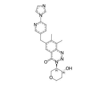 Cc1c(Cc2ccc(-n3ccnc3)nc2)cc2c(=O)n([C@@H]3COCC[C@H]3O)nnc2c1C